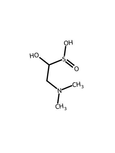 CN(C)CC(O)S(=O)O